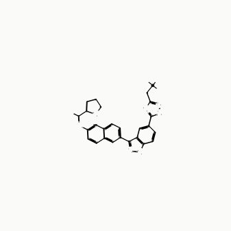 CC(Oc1ccc2cc(-c3n[nH]c4ccc(-c5nc(CC(C)(C)C)n[nH]5)cc34)ccc2c1)C1CCCN1